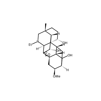 CCN1C[C@]2(C)CC[C@H](O)[C@]34[C@@H]5C[C@H]6C(O)[C@@H]5[C@@]5(C[C@@H]6OC)OCOC5([C@@H]13)[C@@H](O)[C@H]24